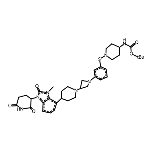 Cn1c(=O)n(C2CCC(=O)NC2=O)c2cccc(C3CCN(C4CN(c5cccc(SN6CCC(NC(=O)OC(C)(C)C)CC6)c5)C4)CC3)c21